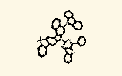 CC1(C)c2ccccc2-c2cc3c(cc21)c1c2ccccc2c(-n2c4ccccc4c4ccccc42)cc1n3-c1nc(-c2ccccc2)c2sc3ccccc3c2n1